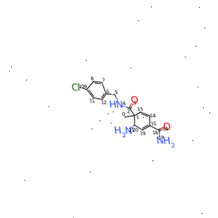 CC1(C(=O)NCc2ccc(Cl)cc2)C=CC(C(N)=O)=CC1N